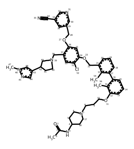 CC(=O)NC1CCN(CCCOc2cccc(-c3cccc(COc4cc(OCc5cncc(C#N)c5)c(CN5CCC(c6cnn(C)c6)C5)cc4Cl)c3C)c2C)CC1